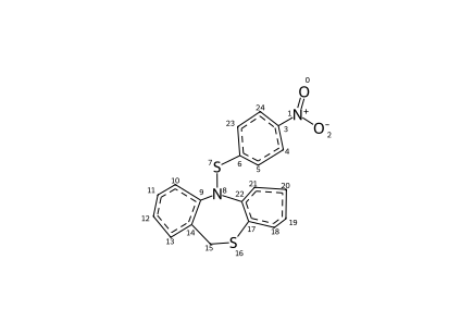 O=[N+]([O-])c1ccc(SN2c3ccccc3CSc3ccccc32)cc1